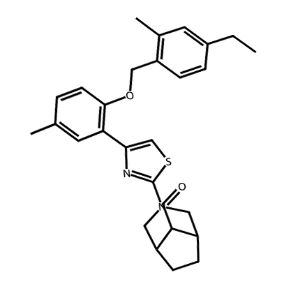 CCc1ccc(COc2ccc(C)cc2-c2csc(N3CC4CCC(C3)C4C=O)n2)c(C)c1